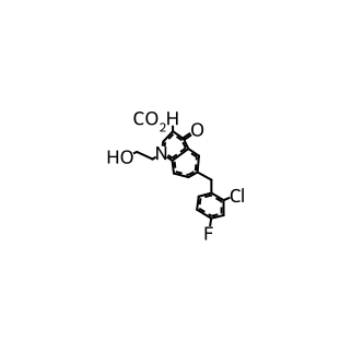 O=C(O)c1cn(CCO)c2ccc(Cc3ccc(F)cc3Cl)cc2c1=O